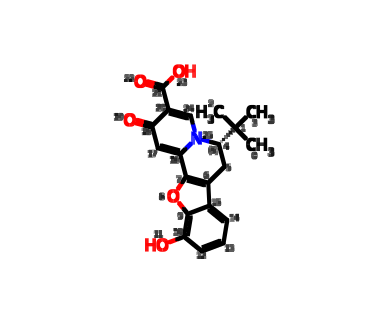 CC(C)(C)[C@@H]1Cc2c(oc3c(O)cccc23)-c2cc(=O)c(C(=O)O)cn21